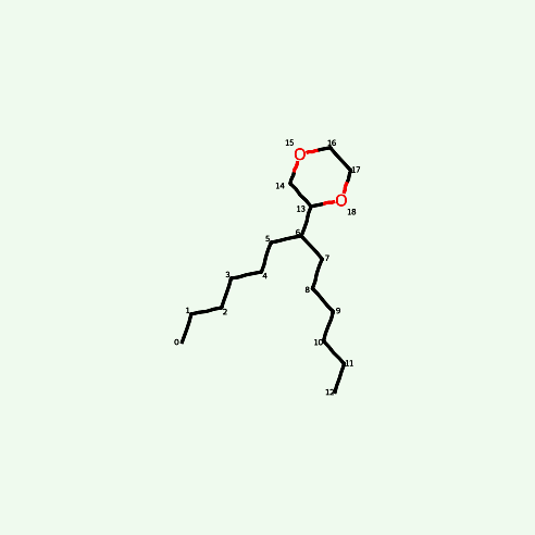 CCCCCCC(CCCCCC)C1COCCO1